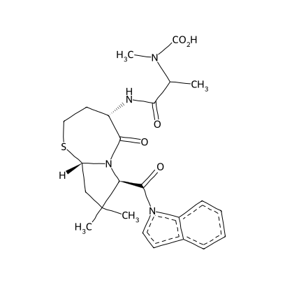 CC(C(=O)N[C@H]1CCS[C@H]2CC(C)(C)[C@H](C(=O)n3ccc4ccccc43)N2C1=O)N(C)C(=O)O